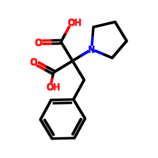 O=C(O)C(Cc1ccccc1)(C(=O)O)N1CCCC1